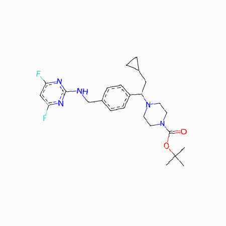 CC(C)(C)OC(=O)N1CCN(C(CC2CC2)c2ccc(CNc3nc(F)cc(F)n3)cc2)CC1